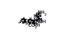 C[n+]1cccc(SC2=C(C(=O)O)N3C(=O)[C@@H](NC(=O)/C(=N\O)c4nsc(N)n4)C3CC2)c1